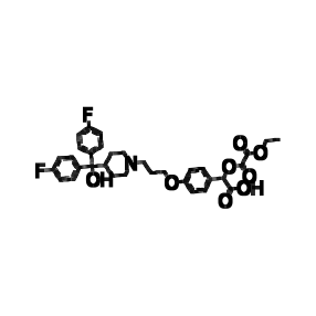 CCOC(=O)C(=O)OC(C(=O)O)c1ccc(OCCCN2CCC(C(O)(c3ccc(F)cc3)c3ccc(F)cc3)CC2)cc1